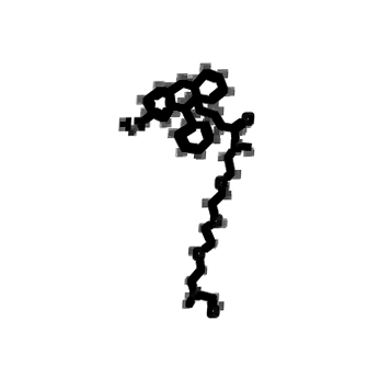 CN(C=O)CCOCCOCCOCCN(C)C(=O)CCCC12C=CC=CC1Cc1ccc(N)cc1C2C1=C=C=CC=C1